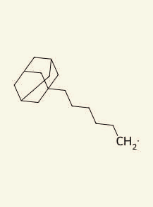 [CH2]CCCCCC12CC3CC(CC(C3)C1)C2